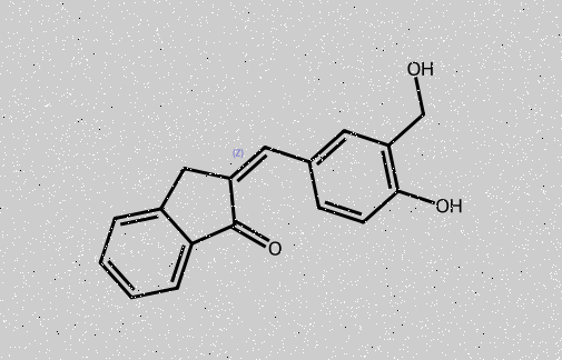 O=C1/C(=C\c2ccc(O)c(CO)c2)Cc2ccccc21